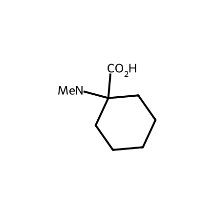 CNC1(C(=O)O)CCCCC1